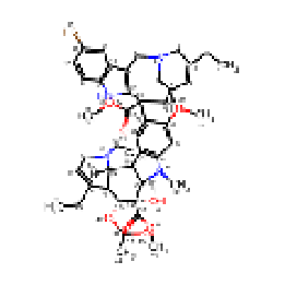 CCC1=C[C@H]2CN(C1)Cc1c([nH]c3ccc(S)cc13)[C@@](C(=O)OC)(c1cc3c(cc1OC)N(C)[C@H]1[C@@](O)(C(=O)OC)[C@H](OC(C)=O)C4C(CC)=CCN5CC[C@]31[C@H]45)C2